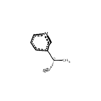 C[C@@H](c1cccnc1)C(C)(C)C